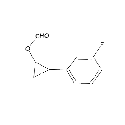 O=COC1CC1c1cccc(F)c1